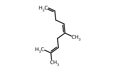 C=CCC=C(C)CC=C(C)C